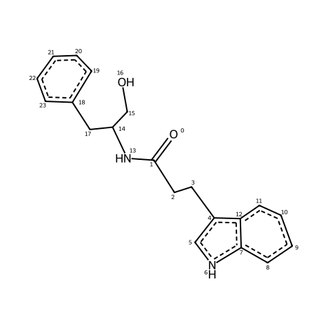 O=C(CCc1c[nH]c2ccccc12)NC(CO)Cc1ccccc1